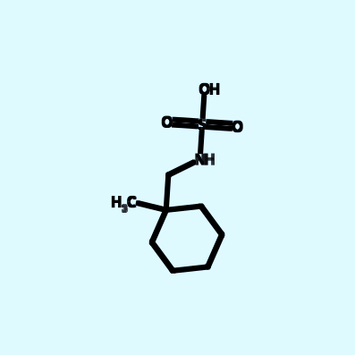 CC1(CNS(=O)(=O)O)CCCCC1